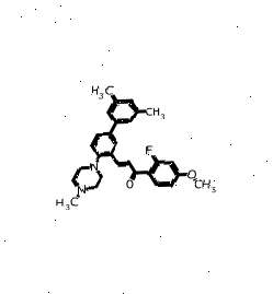 COc1ccc(C(=O)C=Cc2cc(-c3cc(C)cc(C)c3)ccc2N2CCN(C)CC2)c(F)c1